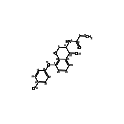 C=CC(=O)NC1COc2c(Oc3ccc(Cl)cc3)cccc2C1=O